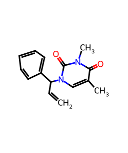 C=CC(c1ccccc1)n1cc(C)c(=O)n(C)c1=O